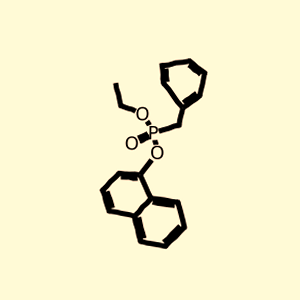 CCOP(=O)(Cc1ccccc1)Oc1cccc2ccccc12